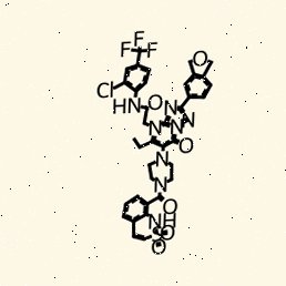 CCc1c(N2CCN(C(=O)c3cccc4c3NS(=O)(=O)C=C4)CC2)c(=O)n2nc(-c3ccc4c(c3)COC4)nc2n1CC(=O)Nc1ccc(C(F)(F)F)cc1Cl